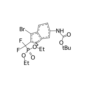 CCOP(=O)(OCC)C(F)(F)c1sc2cc(NC(=O)OC(C)(C)C)ccc2c1Br